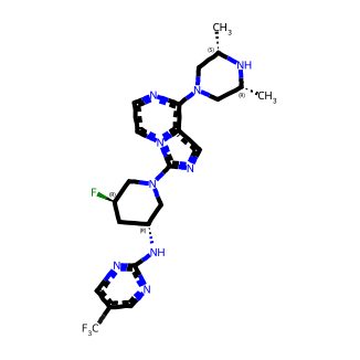 C[C@@H]1CN(c2nccn3c(N4C[C@H](F)C[C@@H](Nc5ncc(C(F)(F)F)cn5)C4)ncc23)C[C@H](C)N1